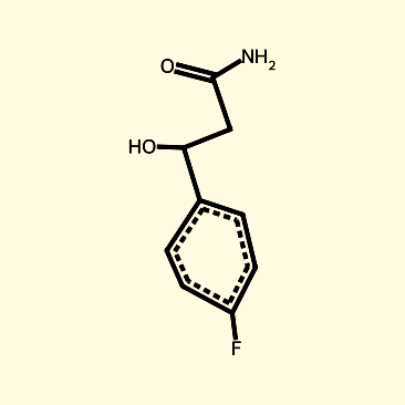 NC(=O)CC(O)c1ccc(F)cc1